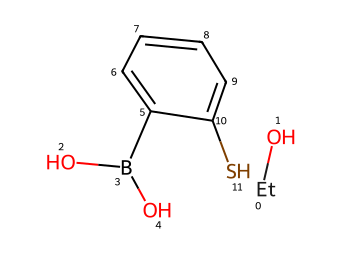 CCO.OB(O)c1ccccc1S